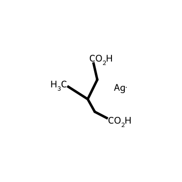 CC(CC(=O)O)CC(=O)O.[Ag]